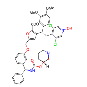 COc1ccc([C@H](Cc2c(Cl)c[n+](O)cc2Cl)c2cc(COc3cccc([C@@H](NC(=O)O[C@H]4CN5CCC4CC5)c4ccccc4)c3)oc2C(=O)[O-])cc1OC